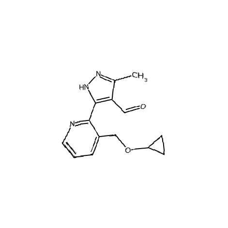 Cc1n[nH]c(-c2ncccc2COC2CC2)c1C=O